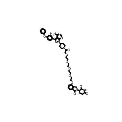 Nc1ncnc2c1c(-c1ccc(Oc3ccccc3)cc1)nn2C1CCN(C(=O)COCCOCCOCCOCCSc2cccc3c2CN(C2CCC(=O)NC2=O)C3=O)CC1